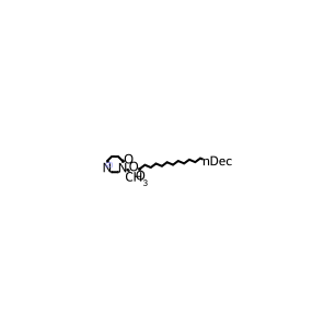 CCCCCCCCCCCCCCCCCCCCCC(=O)OC(C)N1CC/N=C\CCC1=O